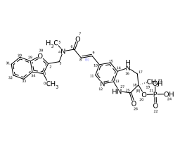 Cc1c(CN(C)C(=O)/C=C/c2cnc3c(c2)NC[C@@](C)(OP(=O)(O)O)C(=O)N3)oc2ccccc12